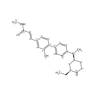 CC[C@H]1C[C@@H](N(C)c2ccc(-c3ccc(/C=C/C(=O)NC)cc3O)nn2)CCN1